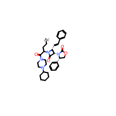 CC(=O)CCC(C(=O)N1CCN(C2CCCCC2)CC1)N1C(=O)[C@@H](N2C(=O)OC[C@@H]2c2ccccc2)[C@H]1/C=C/c1ccccc1